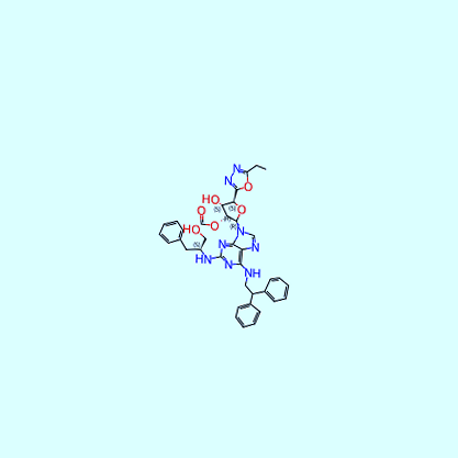 CCc1nnc([C@H]2O[C@@H](n3cnc4c(NCC(c5ccccc5)c5ccccc5)nc(N[C@H](CO)Cc5ccccc5)nc43)[C@H](OC=O)[C@@H]2O)o1